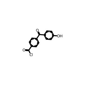 O=C(Cl)c1ccc(C(=O)c2ccc(O)cc2)cc1